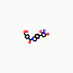 O=C1CCC(c2ccc3c(c2)CCN(C(=O)C2CCC(CO)CC2)C3)C(=O)N1